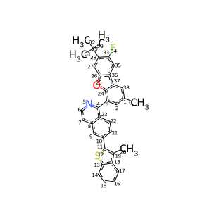 Cc1cc(-c2nccc3cc(-c4sc5ccccc5c4C)ccc23)c2oc3cc(C(C)(C)C)c(F)cc3c2c1